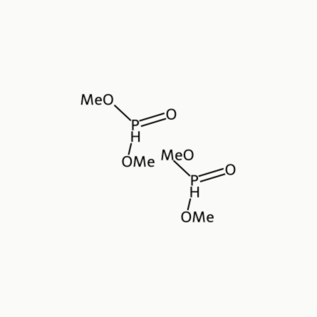 CO[PH](=O)OC.CO[PH](=O)OC